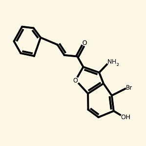 Nc1c(C(=O)/C=C/c2ccccc2)oc2ccc(O)c(Br)c12